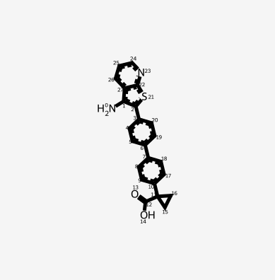 Nc1c(-c2ccc(-c3ccc(C4(C(=O)O)CC4)cc3)cc2)sc2ncccc12